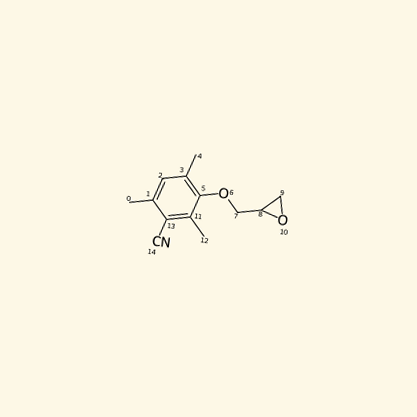 Cc1cc(C)c(OCC2CO2)c(C)c1C#N